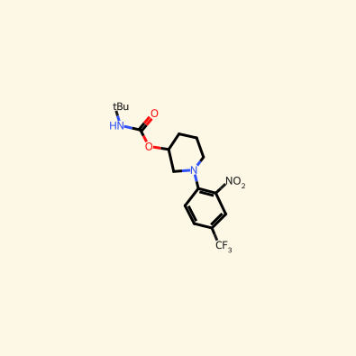 CC(C)(C)NC(=O)OC1CCCN(c2ccc(C(F)(F)F)cc2[N+](=O)[O-])C1